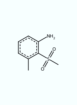 Cc1cccc(N)c1S(C)(=O)=O